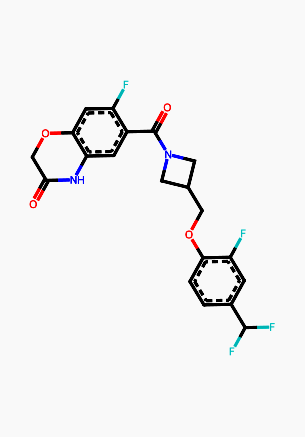 O=C1COc2cc(F)c(C(=O)N3CC(COc4ccc(C(F)F)cc4F)C3)cc2N1